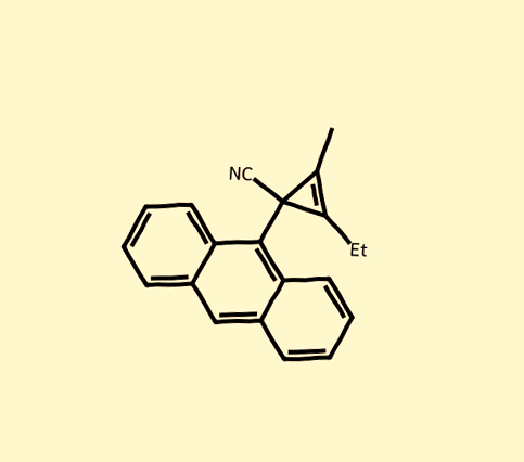 CCC1=C(C)C1(C#N)c1c2ccccc2cc2ccccc12